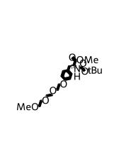 COCCOCCOCCOc1ccc(C[C@H](NC(=O)OC(C)(C)C)C(=O)OC)cc1